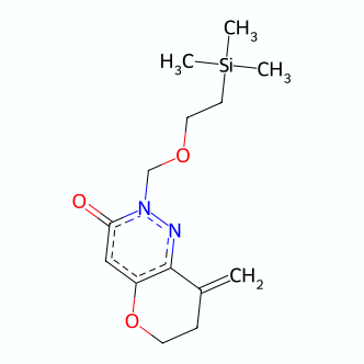 C=C1CCOc2cc(=O)n(COCC[Si](C)(C)C)nc21